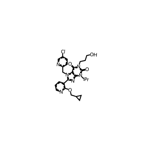 CC(C)n1c(=O)n(CCCO)c(=O)c2c1nc(-c1cccnc1OCC1CC1)n2Cc1ccc(Cl)cn1